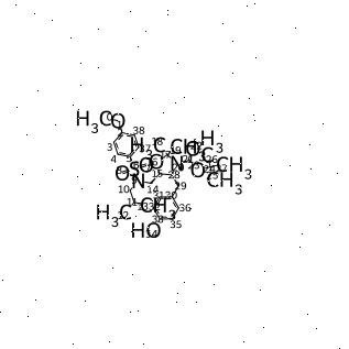 COc1ccc(S(=O)(=O)N(CC(C)C)C[C@H]2OC(C)(C)N(C(=O)OC(C)(C)C)[C@H]2Cc2ccc(O)cc2)cc1